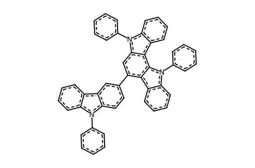 c1ccc(-n2c3ccccc3c3cc(-c4cc5c(c6ccccc6n5-c5ccccc5)c5c4c4ccccc4n5-c4ccccc4)ccc32)cc1